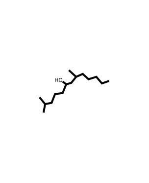 CCCCCC(C)CC(O)CCCC(C)C